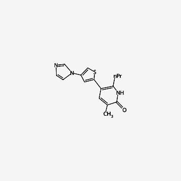 CCCc1[nH]c(=O)c(C)cc1-c1cc(-n2ccnc2)cs1